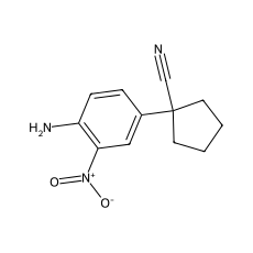 N#CC1(c2ccc(N)c([N+](=O)[O-])c2)CCCC1